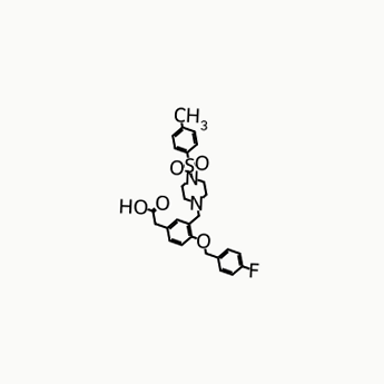 Cc1ccc(S(=O)(=O)N2CCN(Cc3cc(CC(=O)O)ccc3OCc3ccc(F)cc3)CC2)cc1